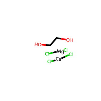 OCCO.[Cl][Ca][Cl].[Cl][Mg][Cl]